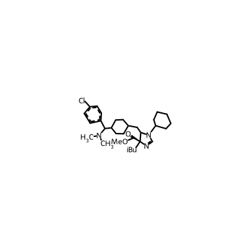 CCC(C)C1(C(=O)OC)N=CN(C2CCCCC2)C1CC1CCC(C(c2ccc(Cl)cc2)N(C)C)CC1